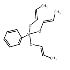 CC=CO[Si](OC=CC)(OC=CC)c1ccccc1